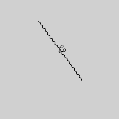 CCCCCCCCCCCCCCCCCC(=O)[B]C(=O)CCCCCCCCCCCCCCCCC